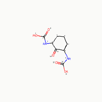 O=C(O)NC1CCCC(NC(=O)O)C1=O